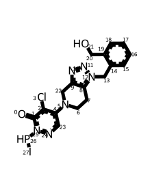 O=c1c(Cl)c(N2CCc3c(nnn3Cc3ccccc3CO)C2)cnn1PI